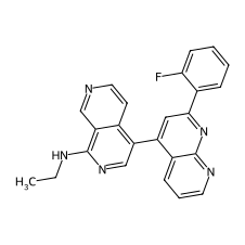 CCNc1ncc(-c2cc(-c3ccccc3F)nc3ncccc23)c2ccncc12